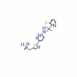 C=C(N)Cc1cnc(-c2ccc(NCC(C)(C)c3ncccc3F)nn2)s1